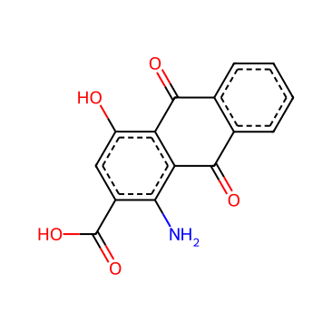 Nc1c(C(=O)O)cc(O)c2c1C(=O)c1ccccc1C2=O